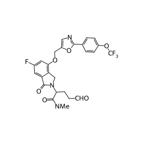 CNC(=O)C(CCC=O)N1Cc2c(OCc3cnc(-c4ccc(OC(F)(F)F)cc4)o3)cc(F)cc2C1=O